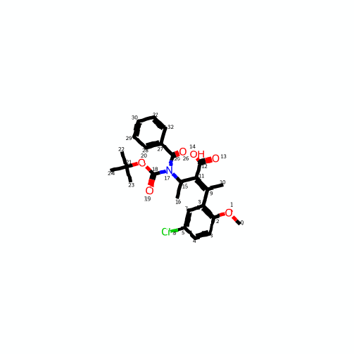 COc1ccc(Cl)cc1/C(C)=C(/C(=O)O)C(C)N(C(=O)OC(C)(C)C)C(=O)c1ccccc1